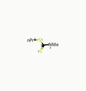 CCCSC(=S)NC